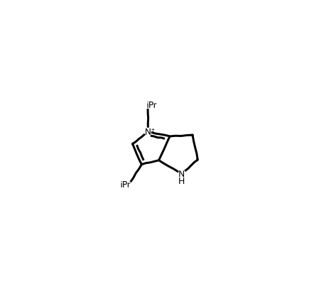 CC(C)C1=C[N+](C(C)C)=C2CCNC12